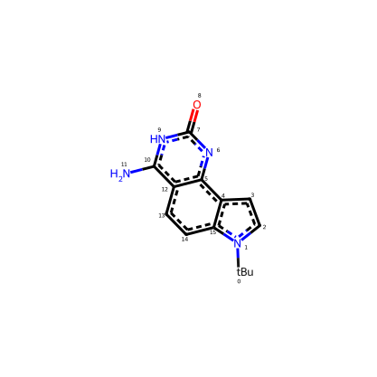 CC(C)(C)n1ccc2c3nc(=O)[nH]c(N)c3ccc21